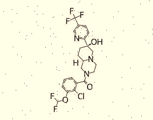 O=C(c1cccc(OC(F)F)c1Cl)N1CCN2C[C@@](O)(c3ccc(C(F)(F)F)cn3)CC[C@@H]2C1